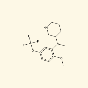 COc1ccc(OC(F)(F)F)cc1N(C)C1CCCNC1